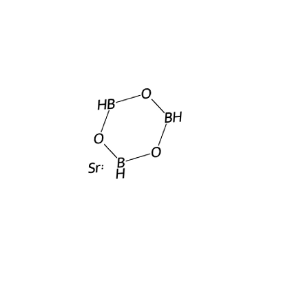 B1OBOBO1.[Sr]